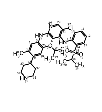 Cc1cc(Nc2cc(Nc3ccccc3S(=O)(=O)C(C)C)c(Cl)cn2)c(OC(C)C)cc1C1CCNCC1